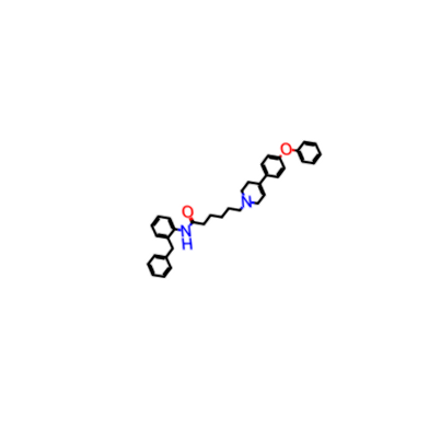 O=C(CCCCCN1CC=C(c2ccc(Oc3ccccc3)cc2)CC1)Nc1ccccc1Cc1ccccc1